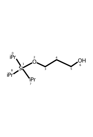 CC(C)[Si](OCCCO)(C(C)C)C(C)C